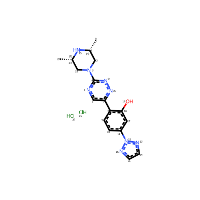 C[C@@H]1CN(c2ncc(-c3ccc(-n4nccn4)cc3O)nn2)C[C@H](C)N1.Cl.Cl